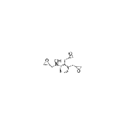 ON(CC1CO1)c1cccc(CC2CO2)c1CC1CO1